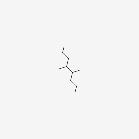 ClCCC(Cl)C(Br)CCBr